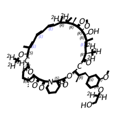 [2H]C([2H])([2H])O[C@H]1C[C@@H]2CC[C@@H](C)[C@@](O)(O2)C(=O)C(=O)N2CCCC[C@H]2C(=O)O[C@H]([C@H](C)C[C@@H]2CC[C@@H](OC([2H])([2H])CO)[C@H](OC)C2)CC(=O)[C@H](C([2H])([2H])[2H])/C=C(\C)[C@@H](O)[C@@H](OC)C(=O)[C@H](C)C([2H])(C)[C@]([2H])(C)/C=C/C=C/C=C/1C